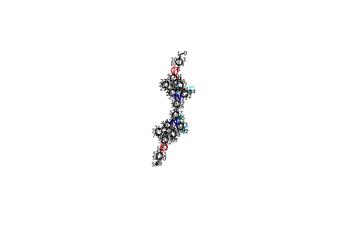 C=Cc1ccc(COc2ccc(C3(c4cc(C)ccc4C)c4ccccc4-c4ccc(N(c5ccc(-c6ccc(N(c7ccc8c(c7)C(c7ccc(OCc9ccc(C=C)cc9)cc7)(c7cc(C)ccc7C)c7ccccc7-8)c7ccc(F)cc7F)cc6)cc5)c5ccc(F)cc5F)cc43)cc2)cc1